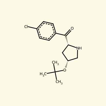 CC(C)(C)O[C@H]1CN[C@@H](C(=O)c2ccc(Cl)cc2)C1